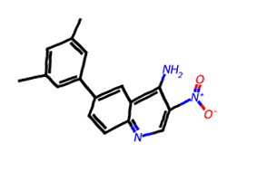 Cc1cc(C)cc(-c2ccc3ncc([N+](=O)[O-])c(N)c3c2)c1